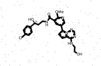 COc1ncc(-c2ccc3c(NCCO)ncnn23)cc1C(=O)NCC[C@H](O)c1ccc(Cl)cc1